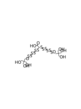 O=C(O)C(SSSSSSOCC(CO)(CO)CO)SSSSSSOCC(CO)(CO)CO